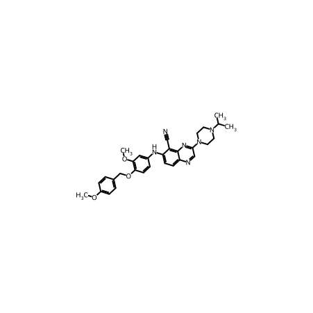 COc1ccc(COc2ccc(Nc3ccc4ncc(N5CCN(C(C)C)CC5)nc4c3C#N)cc2OC)cc1